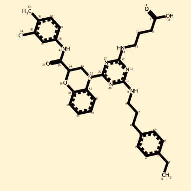 CCc1ccc(CCCNc2nc(NCCCC(=O)O)nc(N3CC(C(=O)Nc4ccc(C)c(Cl)c4)Oc4ccccc43)n2)cc1